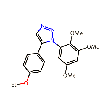 CCOc1ccc(-c2cnnn2-c2cc(OC)cc(OC)c2OC)cc1